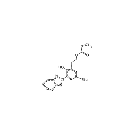 C=CC(=O)OCCc1cc(C(C)(C)C)cc(-n2nc3ccccc3n2)c1O